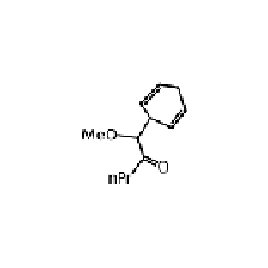 CCCC(=O)C(OC)C1C=CCC=C1